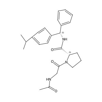 CC(=O)NCC(=O)N1CCC[C@H]1C(=O)N[C@@H](c1ccccc1)c1ccc(C(C)C)cc1